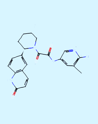 Cc1cc(NC(=O)C(=O)N2C[C@@H](C)CC[C@@H]2c2ccc3[nH]c(=O)ccc3c2)cnc1N